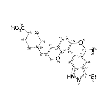 CCc1n[nH]c2ccc(C(Oc3ccc4c(c3)OCC(CN3CCC(C(=O)O)CC3)=C4)C(C)C)cc12